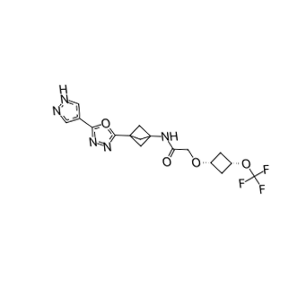 O=C(CO[C@H]1C[C@@H](OC(F)(F)F)C1)NC12CC(c3nnc(-c4cn[nH]c4)o3)(C1)C2